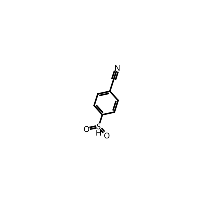 N#Cc1ccc([SH](=O)=O)cc1